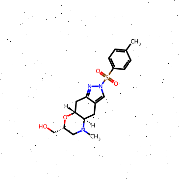 Cc1ccc(S(=O)(=O)n2cc3c(n2)C[C@H]2O[C@@H](CO)CN(C)[C@@H]2C3)cc1